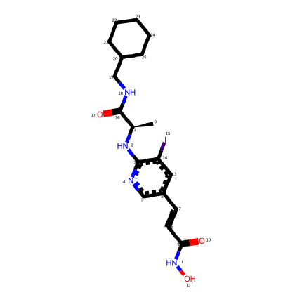 C[C@@H](Nc1ncc(/C=C/C(=O)NO)cc1I)C(=O)NCC1CCCCC1